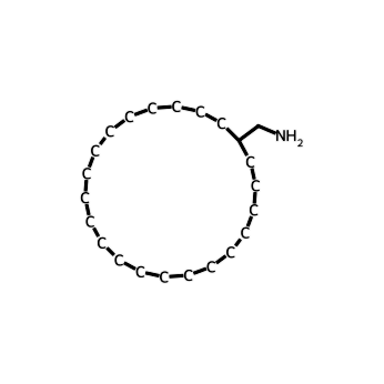 NCC1CCCCCCCCCCCCCCCCCCCCC1